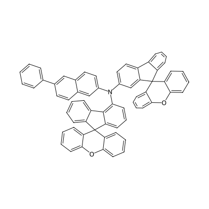 c1ccc(-c2ccc3cc(N(c4ccc5c(c4)C4(c6ccccc6Oc6ccccc64)c4ccccc4-5)c4cccc5c4-c4ccccc4C54c5ccccc5Oc5ccccc54)ccc3c2)cc1